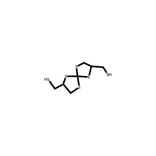 SCC1CSC2(SCC(CS)S2)S1